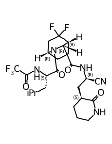 CC(C)C[C@H](NC(=O)C(F)(F)F)C(=O)N1[C@@H]2CC[C@H]([C@@H]1C(=O)N[C@@H](C#N)C[C@@H]1CCCNC1=O)C(F)(F)C2